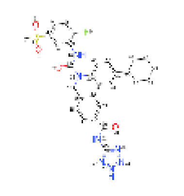 CS(=O)(=O)c1ccc(F)c(NC(=O)N(Cc2ccc(C(=O)Nc3nn[nH]n3)cc2)c2ccc(C3CCCCC3)cc2)c1